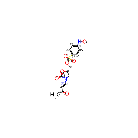 CC(=O)/C=C/N1C[C@@H](COS(=O)(=O)c2ccc(N=O)cc2)OC1=O